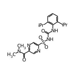 CC(C)c1cccc(C(C)C)c1NC(=O)NS(=O)(=O)c1cnc(C(=O)N(C)C)cn1